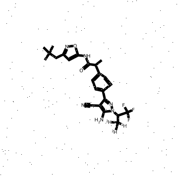 [2H]C([2H])([2H])C(n1nc(-c2ccc(C(C)C(=O)Nc3cc(CC(C)(C)C)no3)cc2)c(C#N)c1N)C(F)(F)F